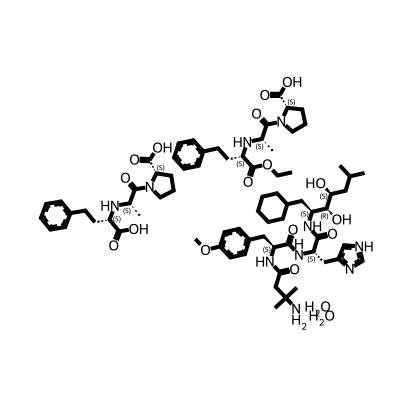 CCOC(=O)[C@H](CCc1ccccc1)N[C@@H](C)C(=O)N1CCC[C@H]1C(=O)O.COc1ccc(C[C@H](NC(=O)CC(C)(C)N)C(=O)N[C@@H](Cc2c[nH]cn2)C(=O)N[C@@H](CC2CCCCC2)[C@@H](O)[C@@H](O)CC(C)C)cc1.C[C@H](N[C@@H](CCc1ccccc1)C(=O)O)C(=O)N1CCC[C@H]1C(=O)O.O.O